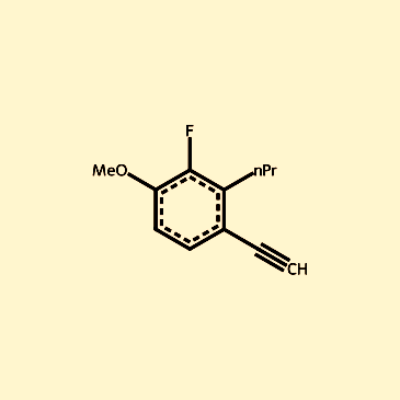 C#Cc1ccc(OC)c(F)c1CCC